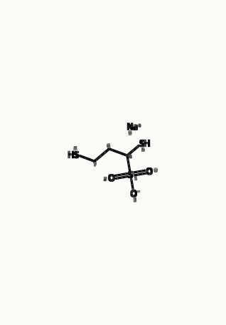 O=S(=O)([O-])C(S)CCS.[Na+]